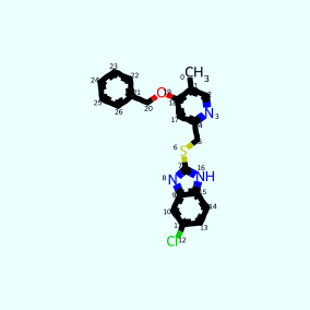 Cc1cnc(CSc2nc3cc(Cl)ccc3[nH]2)cc1OCc1ccccc1